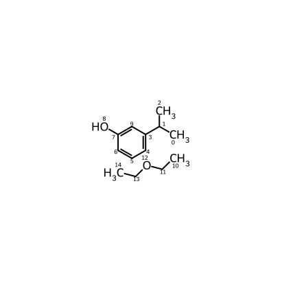 CC(C)c1cccc(O)c1.CCOCC